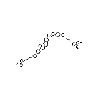 C=C=C(O)OCCCCCCOc1ccc(OCOc2ccc3cc(OC(=O)c4ccc(OCCCCCCOC(=O)C=C)cc4)ccc3c2)cc1